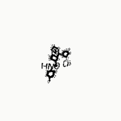 Cc1ccc(NC(=O)c2ccc3c(c2)c(-c2ccccc2)n2[n+]3CCC2)cc1.[Cl-]